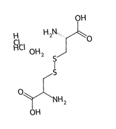 Cl.Cl.NC(CSSC[C@H](N)C(=O)O)C(=O)O.O